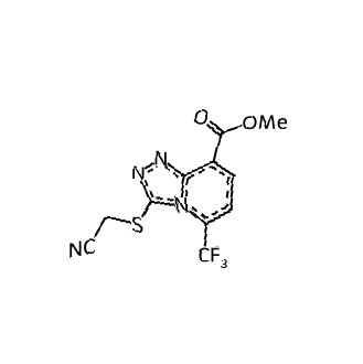 COC(=O)c1ccc(C(F)(F)F)n2c(SCC#N)nnc12